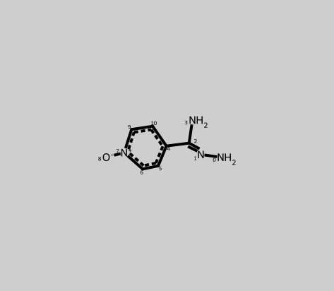 N/N=C(\N)c1cc[n+]([O-])cc1